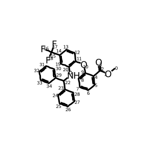 COC(=O)c1ccccc1Oc1ccc(C(F)(F)F)cc1NC(c1ccccc1)c1ccccc1